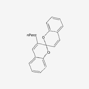 CCCCCC1=Cc2ccccc2OC12C=Cc1ccccc1O2